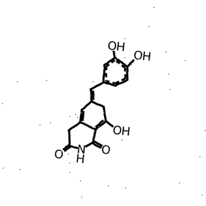 O=C1CC2=CC(=Cc3ccc(O)c(O)c3)CC(O)=C2C(=O)N1